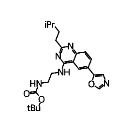 CC(C)CCc1nc(NCCNC(=O)OC(C)(C)C)c2cc(-c3cnco3)ccc2n1